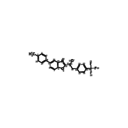 Cc1ccc(-c2ccc3oc([S+]([O-])Cc4ccc(C(F)(F)F)cc4)nc3c2)cc1